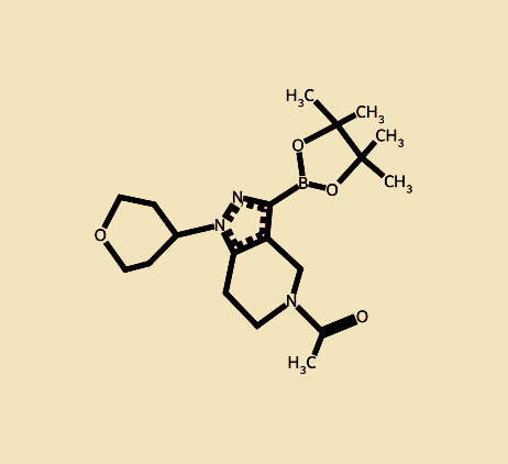 CC(=O)N1CCc2c(c(B3OC(C)(C)C(C)(C)O3)nn2C2CCOCC2)C1